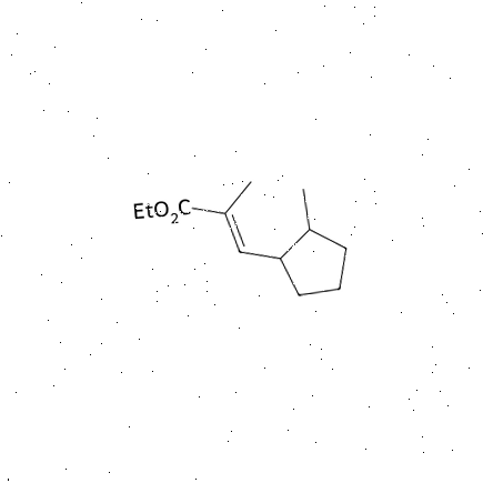 CCOC(=O)C(C)=CC1CCCC1C